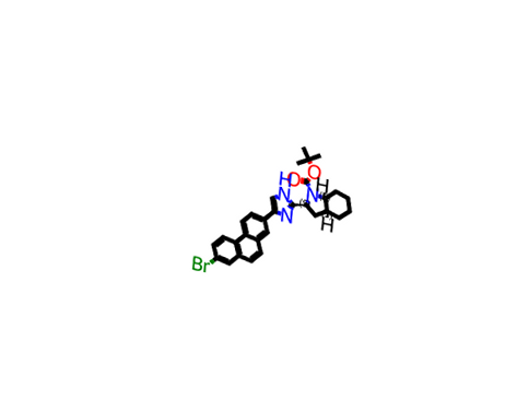 CC(C)(C)OC(=O)N1[C@H](c2nc(-c3ccc4c(ccc5cc(Br)ccc54)c3)c[nH]2)C[C@@H]2CCCC[C@@H]21